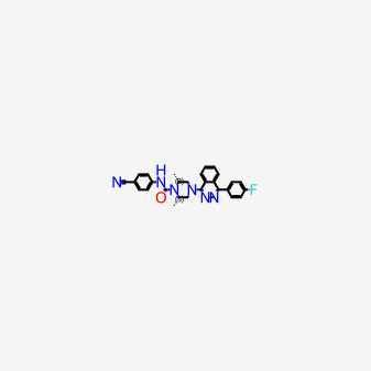 C[C@@H]1CN(c2nnc(-c3ccc(F)cc3)c3ccccc23)C[C@H](C)N1C(=O)Nc1ccc(C#N)cc1